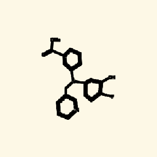 COC(=O)c1cccc(N(Cc2cccnc2)c2ccc(F)c(O)c2)c1